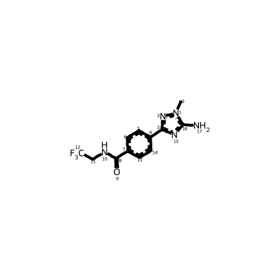 Cn1nc(-c2ccc(C(=O)NCC(F)(F)F)cc2)nc1N